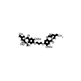 CC=C1C[C@H]2C=Nc3cc(OCCCOc4cc5c(cc4OC)C(=O)N4CC(=CC)C[C@H]4C(O)N5C(C)C)c(OC)cc3C(=O)N2C1